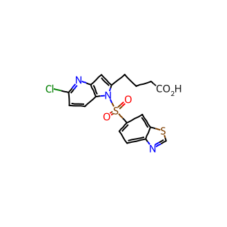 O=C(O)CCCc1cc2nc(Cl)ccc2n1S(=O)(=O)c1ccc2ncsc2c1